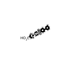 O=C(O)c1cnc(N2CCN(S(=O)(=O)c3ccc(-c4ccccc4)cc3)CC2)nc1